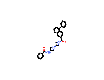 O=C(NC1CN(C2CN(C(=O)c3ccc4c(-c5ccccc5)cccc4c3)C2)C1)c1ccccc1